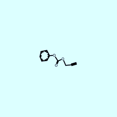 C#CCOC(=O)Oc1ccccc1